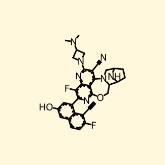 C#Cc1c(F)ccc2cc(O)cc(-c3nc4c5c(c(C#N)c(N6CC(N(C)C)C6)nc5c3F)N3CC5CCC(N5)C3CO4)c12